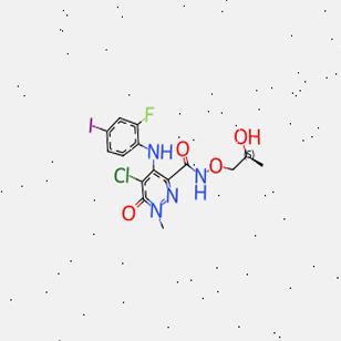 C[C@H](O)CONC(=O)c1nn(C)c(=O)c(Cl)c1Nc1ccc(I)cc1F